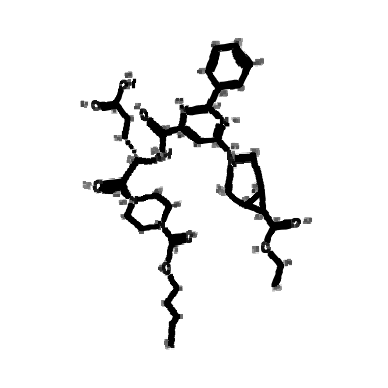 CCCCOC(=O)N1CCN(C(=O)[C@H](CCC(=O)O)NC(=O)c2cc(N3CC4C(C3)C4C(=O)OCC)nc(-c3ccccc3)n2)CC1